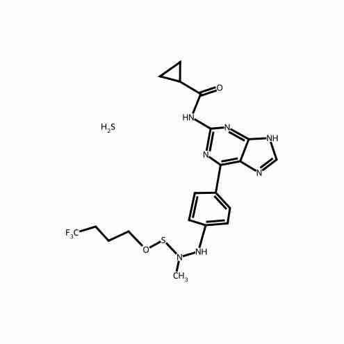 CN(Nc1ccc(-c2nc(NC(=O)C3CC3)nc3[nH]cnc23)cc1)SOCCCC(F)(F)F.S